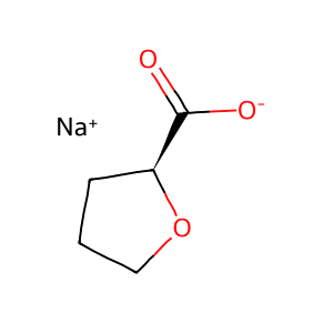 O=C([O-])[C@@H]1CCCO1.[Na+]